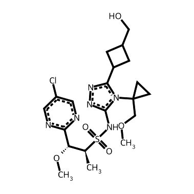 COCC1(n2c(NS(=O)(=O)[C@@H](C)[C@H](OC)c3ncc(Cl)cn3)nnc2C2CC(CO)C2)CC1